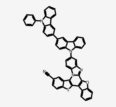 N#Cc1ccc2sc3c4c5ccccc5oc4c4nc5cc(-n6c7ccccc7c7cc(-c8ccc9c(c8)c8ccccc8n9-c8ccccc8)ccc76)ccc5n4c3c2c1